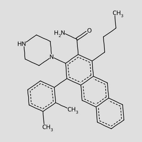 CCCCc1c(C(N)=O)c(N2CCNCC2)c(-c2cccc(C)c2C)c2cc3ccccc3cc12